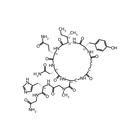 CC[C@H](C)[C@@H]1NC(=O)[C@H](Cc2ccc(O)cc2)NC(=O)CCC(=O)NC[C@@H](C(=O)N(C)CC(=O)N[C@@H](Cc2cnc[nH]2)C(=O)NCC(N)=O)NC(=O)[C@H](CC(N)=O)NC(=O)[C@H](CCC(N)=O)NC1=O